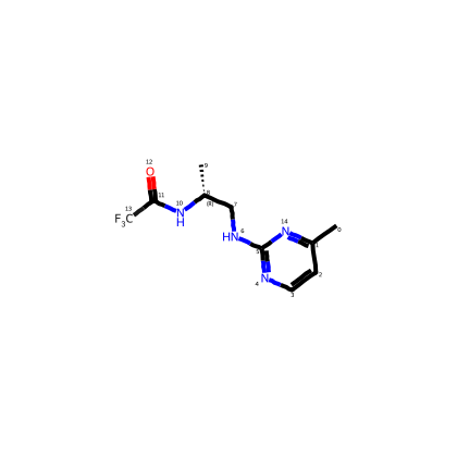 Cc1ccnc(NC[C@@H](C)NC(=O)C(F)(F)F)n1